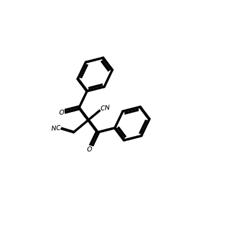 N#CCC(C#N)(C(=O)c1ccccc1)C(=O)c1ccccc1